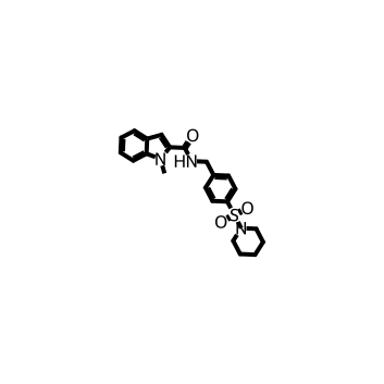 Cn1c(C(=O)NCc2ccc(S(=O)(=O)N3CCCCC3)cc2)cc2ccccc21